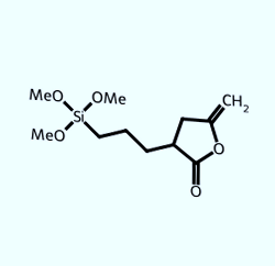 C=C1CC(CCC[Si](OC)(OC)OC)C(=O)O1